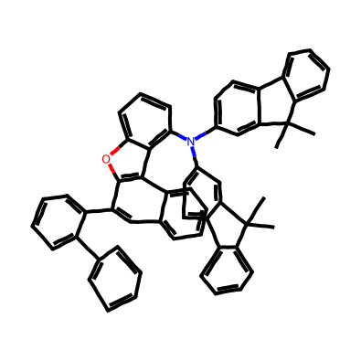 CC1(C)c2ccccc2-c2ccc(N(c3ccc4c(c3)C(C)(C)c3ccccc3-4)c3cccc4oc5c(-c6ccccc6-c6ccccc6)cc6ccccc6c5c34)cc21